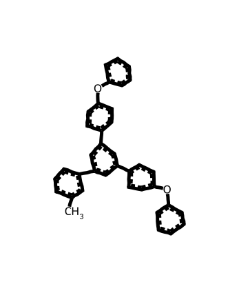 Cc1cccc(-c2cc(-c3ccc(Oc4ccccc4)cc3)cc(-c3ccc(Oc4ccccc4)cc3)c2)c1